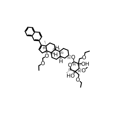 CCOCO[C@]12CC=C(c3ccc4ccccc4c3)[C@@]1(C)CC[C@H]1[C@H]2CC[C@@H]2C[C@@H](O[C@@H]3O[C@@H](C)[C@@](O)(COCC)[C@@H](OC)[C@@]3(O)COCC)CC[C@@]21C